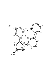 O=C1N[C@H](c2cncc(-c3ccccc3Cl)c2)C(c2cccc(F)c2)O1